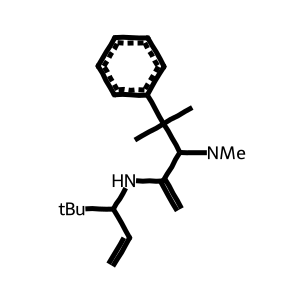 C=CC(NC(=C)C(NC)C(C)(C)c1ccccc1)C(C)(C)C